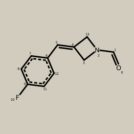 O=CN1CC(=Cc2ccc(F)cc2)C1